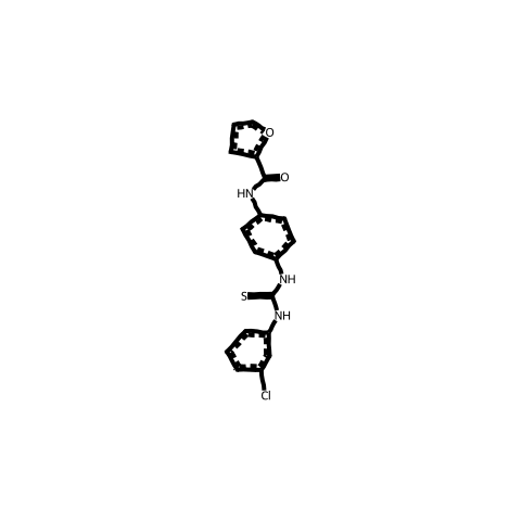 O=C(Nc1ccc(NC(=S)Nc2cc[c]c(Cl)c2)cc1)c1ccco1